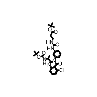 CC(NC(=O)OC(C)(C)C)c1nc2cccc(Cl)c2c(=O)n1-c1cccc(NC(=O)NCCC(=O)OC(C)(C)C)c1